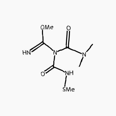 COC(=N)N(C(=O)NSC)C(=O)N(C)C